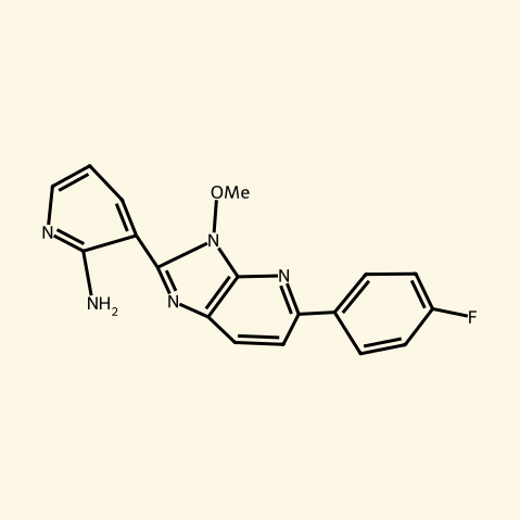 COn1c(-c2cccnc2N)nc2ccc(-c3ccc(F)cc3)nc21